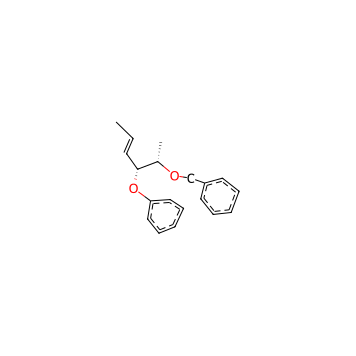 C/C=C/[C@@H](Oc1ccccc1)[C@H](C)OCc1ccccc1